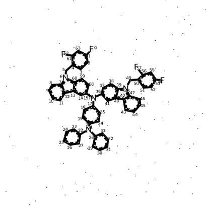 Fc1ccc(Cn2c3ccccc3c3cc(N(c4ccc(N(c5ccccc5)c5ccccc5)cc4)c4ccc5c(c4)c4ccccc4n5Cc4ccc(F)cc4F)ccc32)c(F)c1